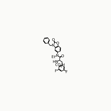 CCN(C(=O)C(Cc1cc(F)cc(F)c1)NC(=O)O)c1ccc2oc(=O)n(Cc3ccccc3)c2c1